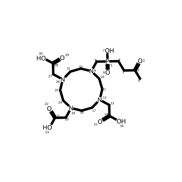 CC(=O)CCP(=O)(O)CN1CCN(CC(=O)O)CCN(CC(=O)O)CCN(CC(=O)O)CC1